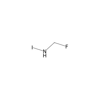 FCNI